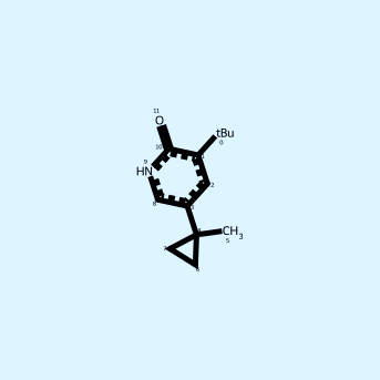 CC(C)(C)c1cc(C2(C)CC2)c[nH]c1=O